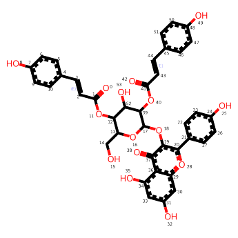 O=C(/C=C/c1ccc(O)cc1)OC1C(CO)OC(Oc2c(-c3ccc(O)cc3)oc3cc(O)cc(O)c3c2=O)C(OC(=O)/C=C/c2ccc(O)cc2)C1O